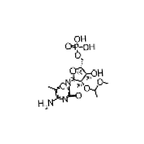 COC(C)O[C@@H]1[C@H](O)[C@@H](COP(=O)(O)O)O[C@H]1n1cc(C)c(N)nc1=O